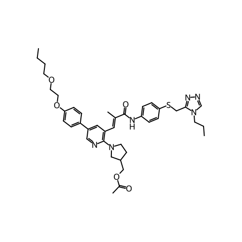 CCCCOCCOc1ccc(-c2cnc(N3CCC(COC(C)=O)C3)c(/C=C(\C)C(=O)Nc3ccc(SCc4nncn4CCC)cc3)c2)cc1